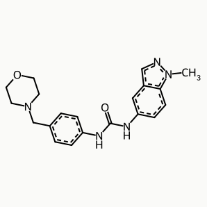 Cn1ncc2cc(NC(=O)Nc3ccc(CN4CCOCC4)cc3)ccc21